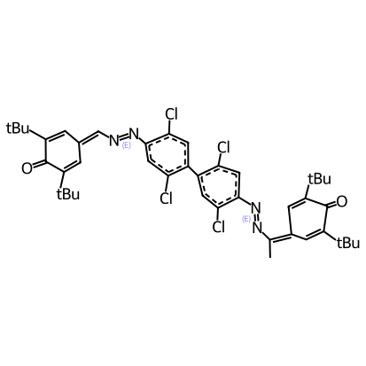 CC(/N=N/c1cc(Cl)c(-c2cc(Cl)c(/N=N/C=C3C=C(C(C)(C)C)C(=O)C(C(C)(C)C)=C3)cc2Cl)cc1Cl)=C1C=C(C(C)(C)C)C(=O)C(C(C)(C)C)=C1